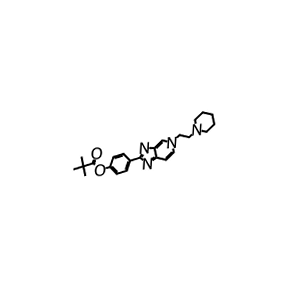 CC(C)(C)C(=O)Oc1ccc(-c2nc3ccn(CCN4CCCCC4)cc-3n2)cc1